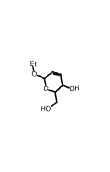 CCOC1C=CC(O)C(CO)O1